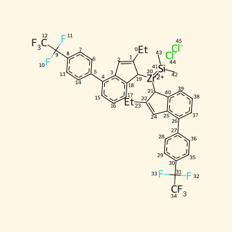 CCC1=Cc2c(-c3ccc(C(F)(F)C(F)(F)F)cc3)cccc2[CH]1[Zr+2]([CH]1C(CC)=Cc2c(-c3ccc(C(F)(F)C(F)(F)F)cc3)cccc21)=[Si](C)C.[Cl-].[Cl-]